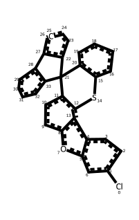 Clc1ccc2c(c1)oc1ccc3c(c12)Sc1ccccc1C31c2ccccc2-c2ccccc21